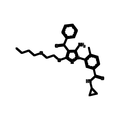 CCCCOCCOc1nn(-c2cc(C(=O)NC3CC3)ccc2C)c(N)c1C(=O)c1ccccc1